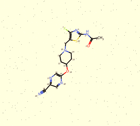 CC(=O)Nc1nc(F)c(CN2CCC(Oc3cnc(C#N)cn3)CC2)s1